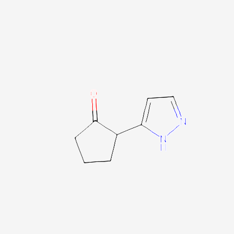 O=C1CCCC1c1ccn[nH]1